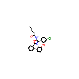 CCCCC(=O)Nc1oc(-c2ccccc2-c2cccc(O)c2)nc1-c1ccc(Cl)cc1